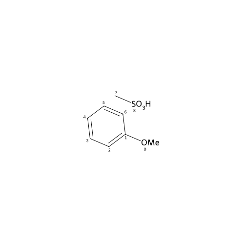 COc1ccccc1.CS(=O)(=O)O